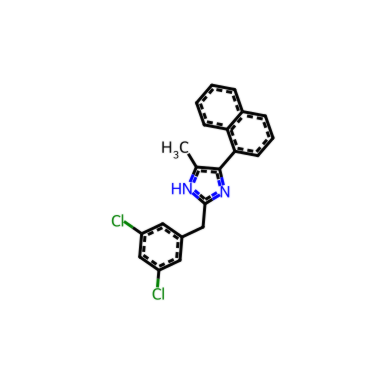 Cc1[nH]c(Cc2cc(Cl)cc(Cl)c2)nc1-c1cccc2ccccc12